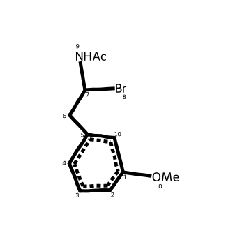 COc1cccc(CC(Br)NC(C)=O)c1